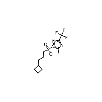 Cc1nc(C(F)(F)F)nn1S(=O)(=O)CCCC1CCC1